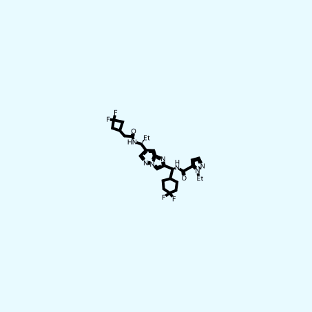 CC[C@@H](NC(=O)CC1CC(F)(F)C1)c1cnn2cc([C@@H](NC(=O)c3ccnn3CC)C3CCC(F)(F)CC3)nc2c1